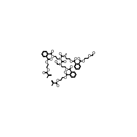 C=C(C)C(=O)OCCOC(=O)c1ccccc1C(=O)OCCN(C=O)C(=O)N(CCOC(=O)c1ccccc1C(=O)OCCOC(=O)C(=C)C)C(=O)N(C)CCOC(=O)c1ccccc1C(=O)OCCOC=O